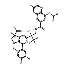 Cc1cnc2c(OC(F)F)cc(C(=O)NCC(O)(c3cc4c(c(-c5cc(F)c(F)cc5F)n3)OC[C@]4(C)C(N)=O)C(F)(F)F)cc2c1